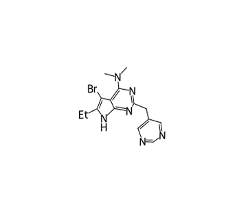 CCc1[nH]c2nc(Cc3cncnc3)nc(N(C)C)c2c1Br